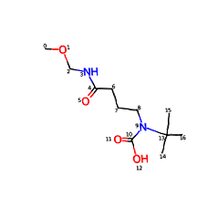 COCNC(=O)CCCN(C(=O)O)C(C)(C)C